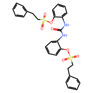 O=C(Nc1ccccc1OS(=O)(=O)CCc1ccccc1)Nc1ccccc1OS(=O)(=O)CCc1ccccc1